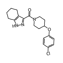 O=C(c1n[nH]c2c1CCCC2)N1CCC(Oc2ccc(Cl)cc2)CC1